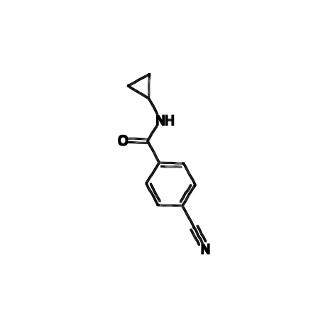 N#Cc1ccc(C(=O)NC2CC2)cc1